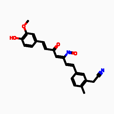 COc1cc(/C=C/C(=O)/C=C(/C=C/c2ccc(C)c(CC#N)c2)N=O)ccc1O